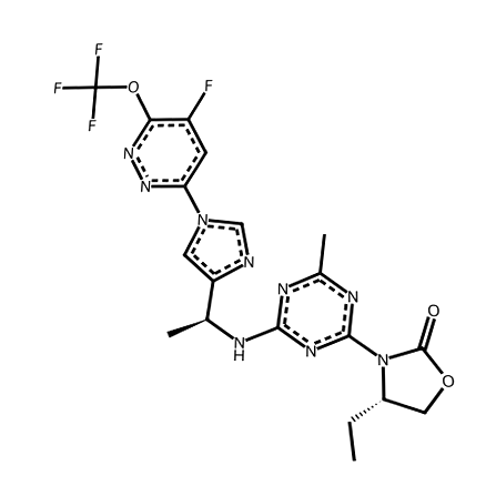 CC[C@H]1COC(=O)N1c1nc(C)nc(N[C@@H](C)c2cn(-c3cc(F)c(OC(F)(F)F)nn3)cn2)n1